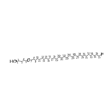 OCCCCCCCCCCCCCCCCCCCCCCCCCCCCCCCCCCCCCI